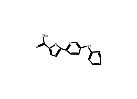 COC(=O)c1ccc(-c2ccc(Nc3ccccc3)cn2)s1